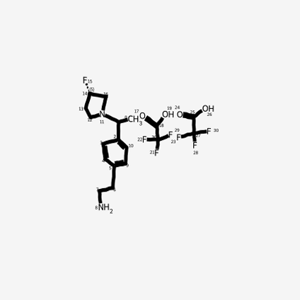 CC(c1ccc(CCN)cc1)N1CC[C@H](F)C1.O=C(O)C(F)(F)F.O=C(O)C(F)(F)F